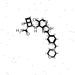 NC(=O)[C@H]1[C@@H]2C=CC2[C@H]1Nc1c(Cl)cnc2[nH]c(-c3ccc(CN4CCOCC4)cc3)nc12